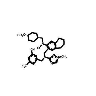 CCN(C[C@H]1CC[C@H](C(=O)O)CC1)c1cc2c(cc1CN(Cc1cc(C#N)cc(C(F)(F)F)c1)c1ncn(C)n1)CCCC2